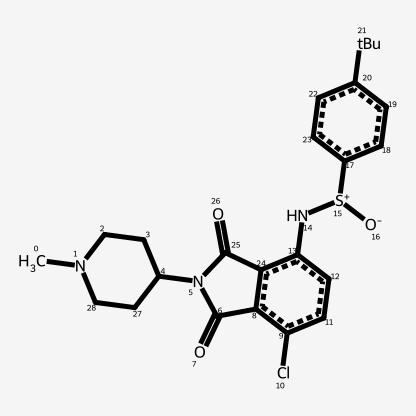 CN1CCC(N2C(=O)c3c(Cl)ccc(N[S+]([O-])c4ccc(C(C)(C)C)cc4)c3C2=O)CC1